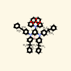 CC(C)(c1ccccc1)c1ccc(N2c3ccc(C(C)(C)c4ccccc4)cc3B3c4cc(C(C)(C)c5ccccc5)ccc4N(c4ccc(C(C)(C)c5ccccc5)cc4)c4cc(N(c5ccccc5-c5ccccc5)c5ccccc5-c5ccccc5)cc2c43)cc1